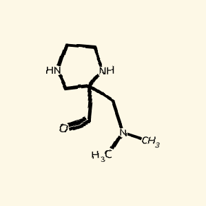 CN(C)CC1(C=O)CNCCN1